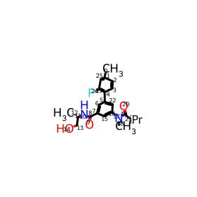 Cc1ccc(-c2cc(C(=O)N[C@@H](C)CO)cc(N(C)C(=O)C(C)C)c2)c(F)c1